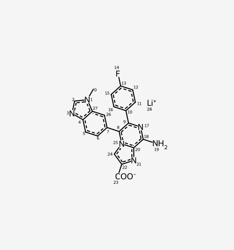 Cn1cnc2ccc(-c3c(-c4ccc(F)cc4)nc(N)c4nc(C(=O)[O-])cn34)cc21.[Li+]